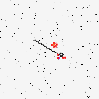 CCCCCCCCCCCCCCCCCCOc1cccc(O)c1I=O.O=P(O)(O)O